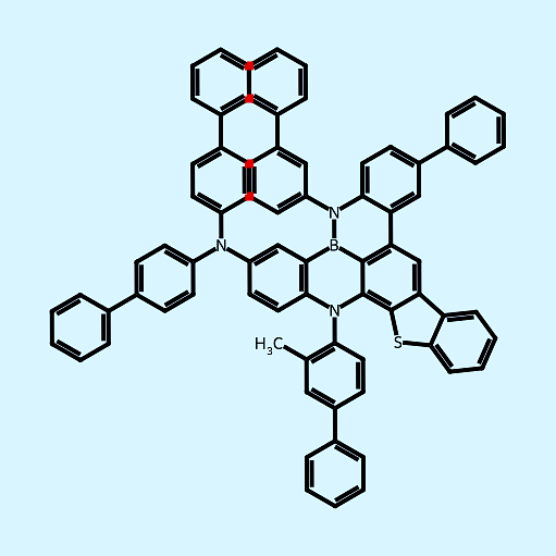 Cc1cc(-c2ccccc2)ccc1N1c2ccc(N(c3ccc(-c4ccccc4)cc3)c3ccc(-c4ccccc4)cc3)cc2B2c3c(cc4c(sc5ccccc54)c31)-c1cc(-c3ccccc3)ccc1N2c1cccc(-c2ccccc2)c1